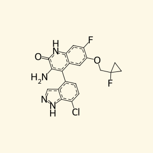 Nc1c(-c2ccc(Cl)c3[nH]ncc23)c2cc(OCC3(F)CC3)c(F)cc2[nH]c1=O